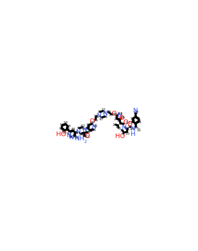 CC(C)[C@@H](C(=O)N1C[C@H](O)C[C@H]1C(=O)N[C@@H](C)c1ccc(C#N)cc1)c1cc(OCCN2CCN(CCOc3cc(N4CCN(c5cc(-c6ccccc6O)nnc5N)CC45COC5)ccn3)CC2)no1